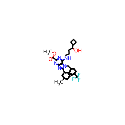 COC(=O)c1nc(NCCCC(O)C2CCC2)c2c(n1)nc(-c1cccc(C)c1)n2Cc1ccc(C(F)(F)F)cc1